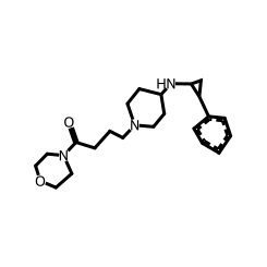 O=C(CCCN1CCC(NC2CC2c2ccccc2)CC1)N1CCOCC1